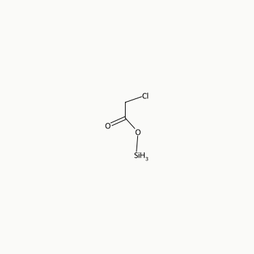 O=C(CCl)O[SiH3]